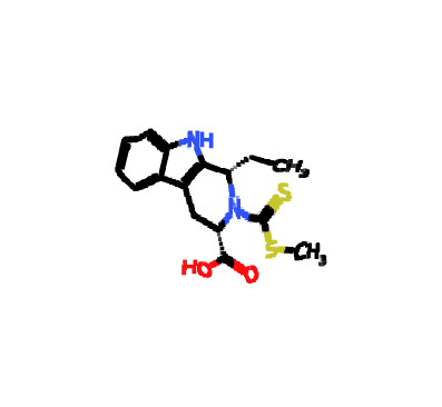 CC[C@H]1c2[nH]c3ccccc3c2C[C@@H](C(=O)O)N1C(=S)SC